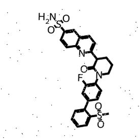 CS(=O)(=O)c1ccccc1-c1ccc(N2CCCC(c3ccc4cc(S(N)(=O)=O)ccc4n3)C2=O)c(F)c1